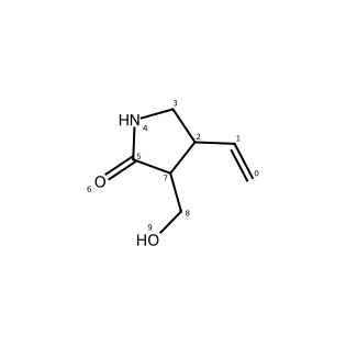 C=CC1CNC(=O)C1CO